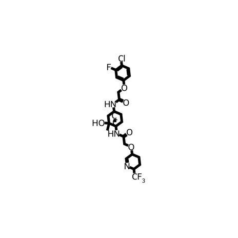 CC1(O)CC2(NC(=O)COc3ccc(Cl)c(F)c3)CCC1(NC(=O)COC1C=NC(C(F)(F)F)CC1)CC2